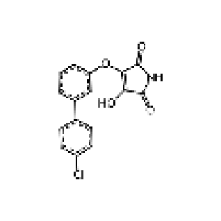 O=C1NC(=O)C(Oc2cccc(-c3ccc(Cl)cc3)c2)=C1O